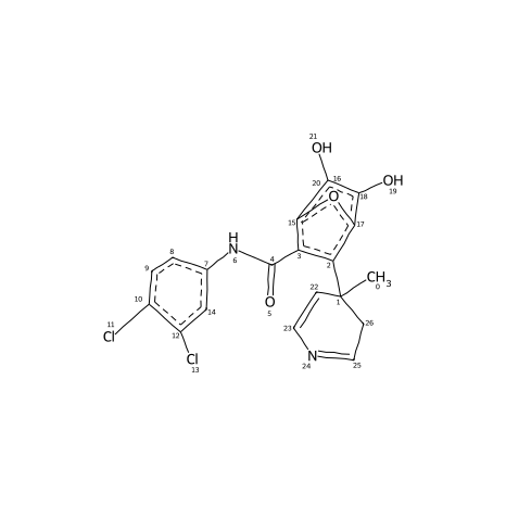 CC1(c2c(C(=O)Nc3ccc(Cl)c(Cl)c3)c3oc2c(O)c3O)C=CN=CC1